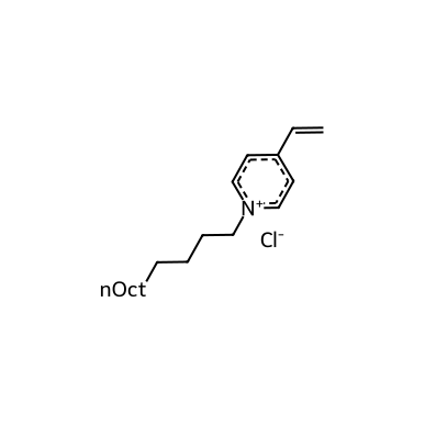 C=Cc1cc[n+](CCCCCCCCCCCC)cc1.[Cl-]